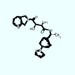 C[C@@H](NC(=O)[C@H](O)[C@@H](O)C(=O)N1Cc2cccnc2C1)c1ccc(-n2cccn2)cc1